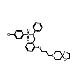 O=S(=O)(c1ccc(Cl)cc1)N(Cc1ccccc1OCCCN1CCC2(CC1)OCCO2)c1ccccc1